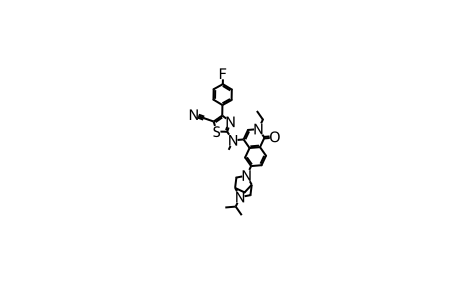 CCn1cc(N(C)c2nc(-c3ccc(F)cc3)c(C#N)s2)c2cc(N3CC4CC3CN4C(C)C)ccc2c1=O